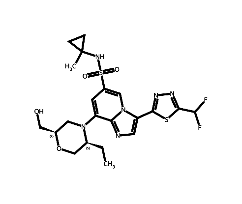 CC[C@H]1CO[C@@H](CO)CN1c1cc(S(=O)(=O)NC2(C)CC2)cn2c(-c3nnc(C(F)F)s3)cnc12